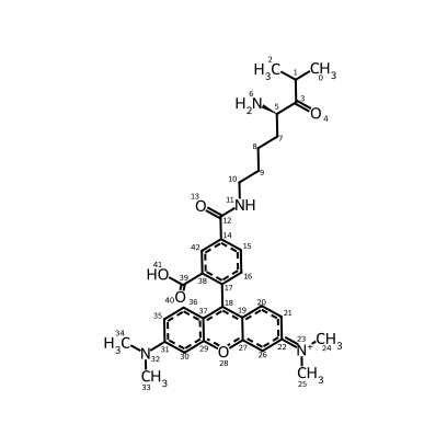 CC(C)C(=O)[C@H](N)CCCCNC(=O)c1ccc(-c2c3ccc(=[N+](C)C)cc-3oc3cc(N(C)C)ccc23)c(C(=O)O)c1